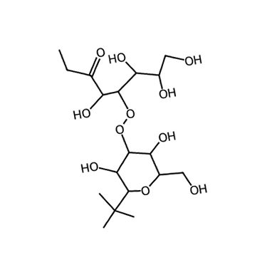 CCC(=O)C(O)C(OOC1C(O)C(CO)OC(C(C)(C)C)C1O)C(O)C(O)CO